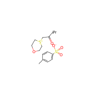 CC(C)C(=O)C[S+]1CCOCC1.Cc1ccc(S(=O)(=O)[O-])cc1